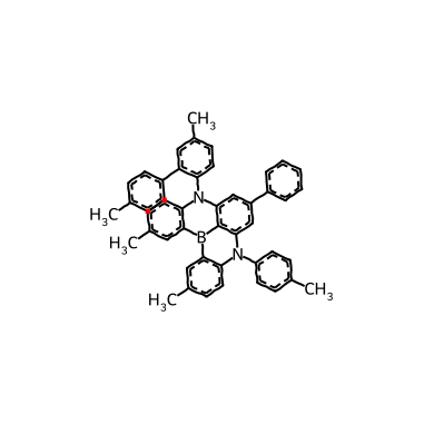 Cc1ccc(-c2cc(C)ccc2N2c3ccc(C)cc3B3c4cc(C)ccc4N(c4ccc(C)cc4)c4cc(-c5ccccc5)cc2c43)cc1